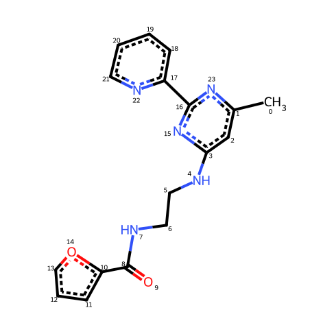 Cc1cc(NCCNC(=O)c2ccco2)nc(-c2ccccn2)n1